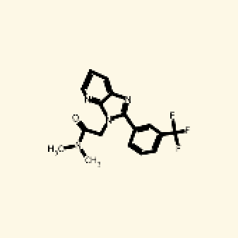 CN(C)C(=O)Cn1c(-c2cccc(C(F)(F)F)c2)nc2cccnc21